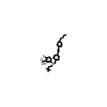 CCCCc1ccc(C#Cc2ccc(CN(CCC(C)(C)C)c3ccc(F)c(C(=O)O)c3)cc2)cc1